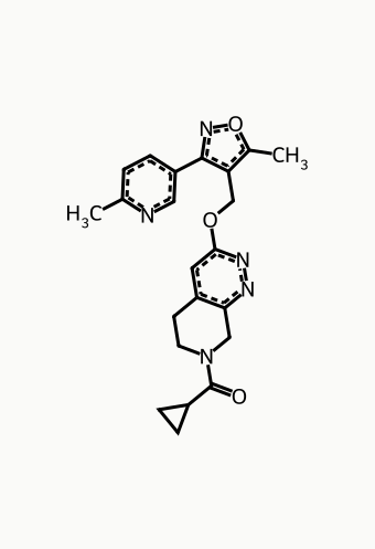 Cc1ccc(-c2noc(C)c2COc2cc3c(nn2)CN(C(=O)C2CC2)CC3)cn1